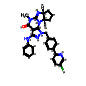 CN1C(=O)c2c(Nc3ccccc3)nn(Cc3ccc(-c4ccc(F)cn4)cc3)c2N2C1=N[C@@H]1CCC[C@@H]12